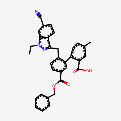 CCn1nc(Cc2ccc(C(=O)OCc3ccccc3)cc2-c2ccc(C)cc2C(=O)O)c2ccc(C#N)cc21